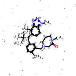 Cc1ccc([C@@H](c2ccc3c(nnn3C)c2C)C(C)(C)C(=O)O)cc1CN1CCCN(C)C(=O)C1